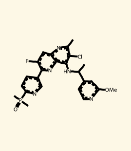 COc1cc(C(C)Nc2c(Cl)c(C)nc3cc(F)c(-c4ccc(P(C)(C)=O)nc4)nc23)ccn1